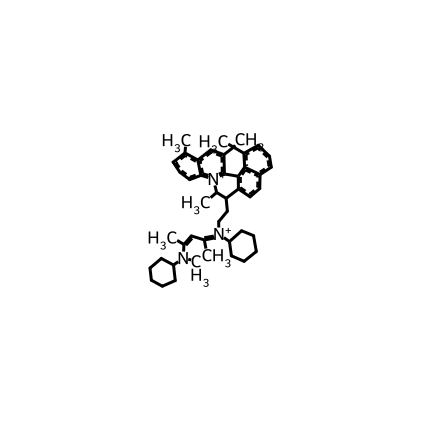 C/C(=C/C(C)=[N+](\CCC1c2ccc3cccc4c3c2-c2c(cc3c(C)cccc3[n+]2C1C)C4(C)C)C1CCCCC1)N(C)C1CCCCC1